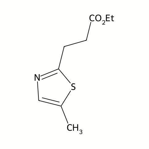 CCOC(=O)CCc1ncc(C)s1